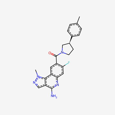 Cc1ccc([C@H]2CCN(C(=O)c3cc4c(cc3F)nc(N)c3cnn(C)c34)C2)cc1